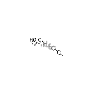 Cc1ccc(-c2ccc3oc(COC(=O)NC(Cc4ccccc4)C(=O)O)cc3c2)cc1